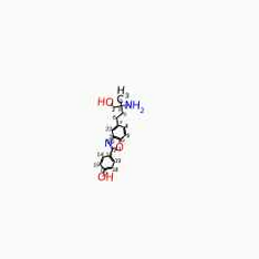 CC(N)(CO)CCc1ccc2oc(-c3ccc(O)cc3)nc2c1